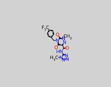 Cn1nnnc1NC(=O)c1nn(C)c(=O)n(Cc2ccc(C(F)(F)F)cc2)c1=O